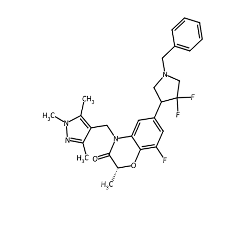 Cc1nn(C)c(C)c1CN1C(=O)[C@@H](C)Oc2c(F)cc(C3CN(Cc4ccccc4)CC3(F)F)cc21